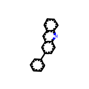 [c]1ccc(-c2ccc3nc4ccccc4cc3c2)cc1